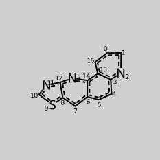 c1cnc2ccc3cc4scnc4nc3c2c1